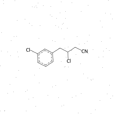 N#CCC(Cl)Cc1cccc(Cl)c1